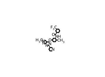 Cc1ccc(Oc2nc(-c3cccnc3)nc3nn(C)cc23)cc1NC(=O)c1cccc(C(F)(F)F)c1